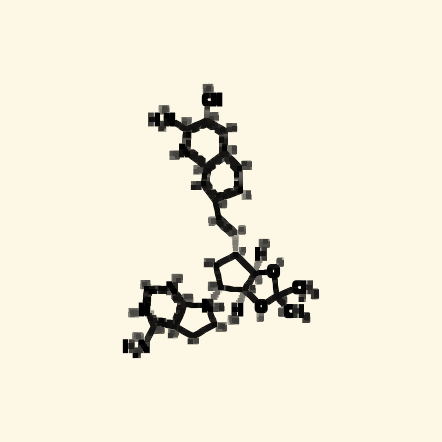 CC1(C)O[C@@H]2[C@H](O1)[C@@H](/C=C/c1ccc3cc(C#N)c(N)nc3c1)C[C@H]2N1CCc2c(N)ncnc21